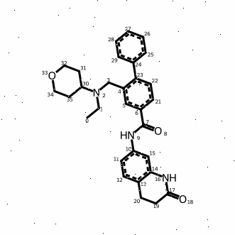 CCN(Cc1cc(C(=O)Nc2ccc3c(c2)NC(=O)CC3)ccc1-c1ccccc1)C1CCOCC1